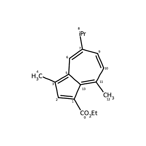 CCOC(=O)c1cc(C)c2cc(C(C)C)ccc(C)c1-2